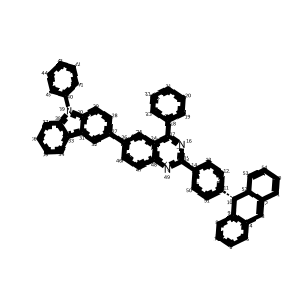 C1=CC2=Cc3ccccc3[C@H](c3ccc(-c4nc(-c5ccccc5)c5cc(-c6ccc7c(c6)c6ccccc6n7-c6ccccc6)ccc5n4)cc3)C2C=C1